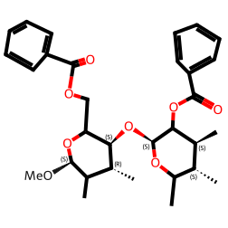 CO[C@H]1OC(COC(=O)c2ccccc2)[C@@H](O[C@@H]2OC(C)[C@@H](C)[C@H](C)C2OC(=O)c2ccccc2)[C@H](C)C1C